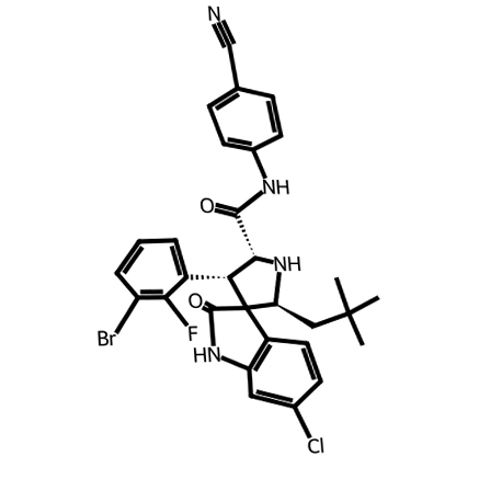 CC(C)(C)C[C@@H]1N[C@@H](C(=O)Nc2ccc(C#N)cc2)[C@@H](c2cccc(Br)c2F)C12C(=O)Nc1cc(Cl)ccc12